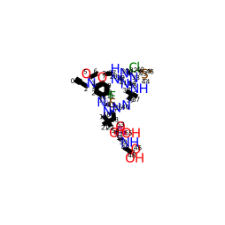 C#CCN1C(=O)COc2cc(F)c(/N=c3\snc4n3CC(C)(C)C4)cc21.CCNc1nc(Cl)nc(NC(C)(C)C#N)n1.C[S+](C)C.O=C(O)CNCP(=O)([O-])O